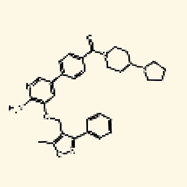 Cc1onc(-c2ccccc2)c1COc1cc(-c2ccc(C(=O)N3CCC(N4CCCC4)CC3)cc2)cnc1N